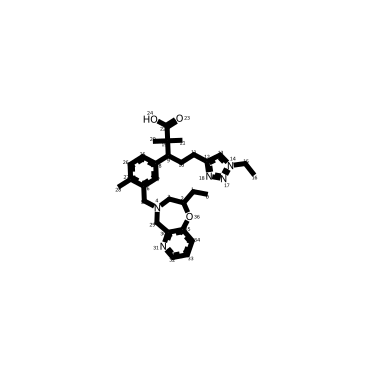 CCC1CN(Cc2cc(C(CCc3cn(CC)nn3)C(C)(C)C(=O)O)ccc2C)Cc2ncccc2O1